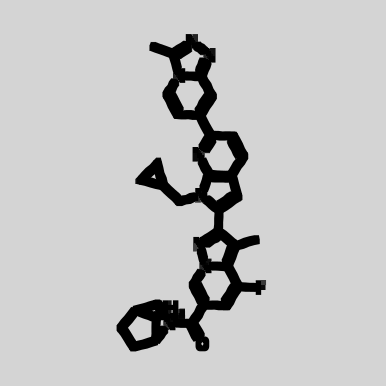 Cc1c(-c2cc3ccc(-c4ccn5c(C)nnc5c4)nc3n2CC2CC2)nn2cc(C(=O)N3CC4CCC3[C@@H]4N)cc(F)c12